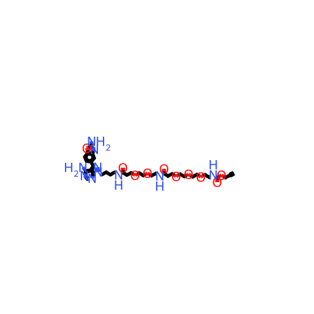 C#CCOC(=O)NCCOCCOCCOCCC(=O)NCCOCCOCCC(=O)NCCCCn1nc(-c2ccc3oc(N)nc3c2)c2c(N)ncnc21